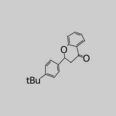 CC(C)(C)c1ccc(C2CC(=O)c3ccccc3O2)cc1